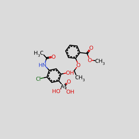 CC(=O)Nc1cc(O)c([As](=O)(O)O)cc1Cl.CCOc1ccccc1C(=O)OC